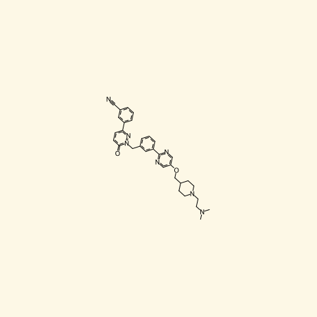 CN(C)CCN1CCC(COc2cnc(-c3cccc(Cn4nc(-c5cccc(C#N)c5)ccc4=O)c3)nc2)CC1